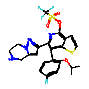 CC(C)Oc1cc(F)ccc1-c1c(-c2cc3n(n2)CCNC3)nc(OS(=O)(=O)C(F)(F)F)c2ccsc12